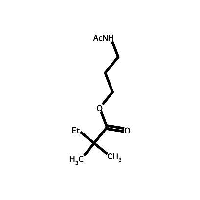 CCC(C)(C)C(=O)OCCCNC(C)=O